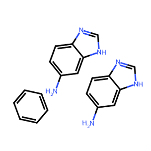 Nc1ccc2nc[nH]c2c1.Nc1ccc2nc[nH]c2c1.c1ccccc1